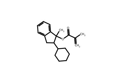 C=C(C)C(=O)OC1(C)c2ccccc2CC1C1CCCCC1